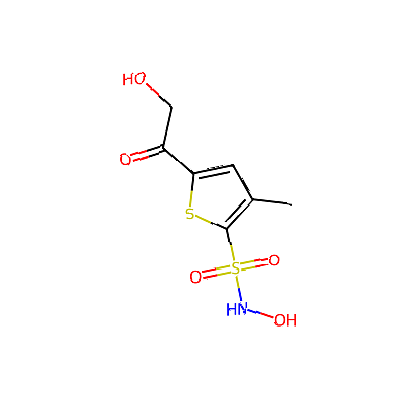 Cc1cc(C(=O)CO)sc1S(=O)(=O)NO